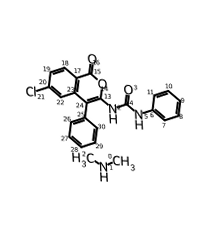 CNC.O=C(Nc1ccccc1)Nc1oc(=O)c2ccc(Cl)cc2c1-c1ccccc1